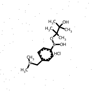 CN(C)Cc1ccc(B(O)OC(C)(C)C(C)(C)O)cc1.Cl